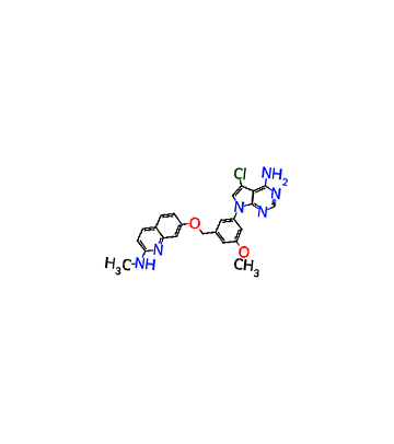 CNc1ccc2ccc(OCc3cc(OC)cc(-n4cc(Cl)c5c(N)ncnc54)c3)cc2n1